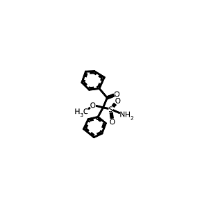 COC(C(=O)c1ccccc1)(c1ccccc1)S(N)(=O)=O